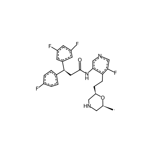 [CH2][C@H]1CNC[C@@H](CCc2c(F)cncc2NC(=O)C[C@@H](c2ccc(F)cc2)c2cc(F)cc(F)c2)O1